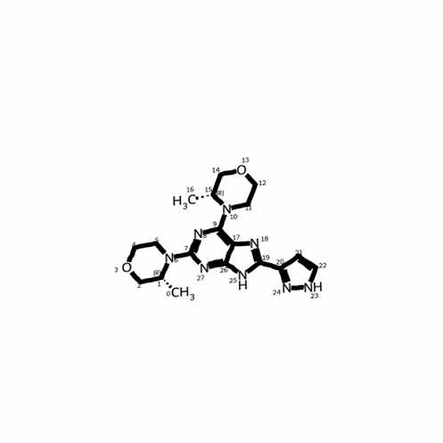 C[C@@H]1COCCN1c1nc(N2CCOC[C@H]2C)c2nc(-c3cc[nH]n3)[nH]c2n1